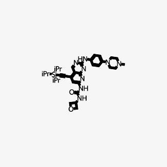 CC(C)[Si](C#Cc1cc(NC(=O)NC2COC2)nc2nc(Nc3ccc(N4CCN(C)CC4)cc3)ncc12)(C(C)C)C(C)C